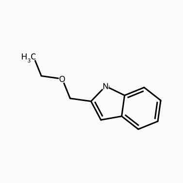 CCOCC1=Cc2ccccc2[N]1